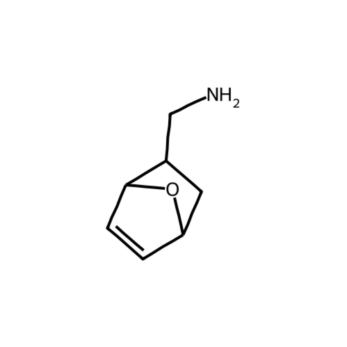 NCC1CC2C=CC1O2